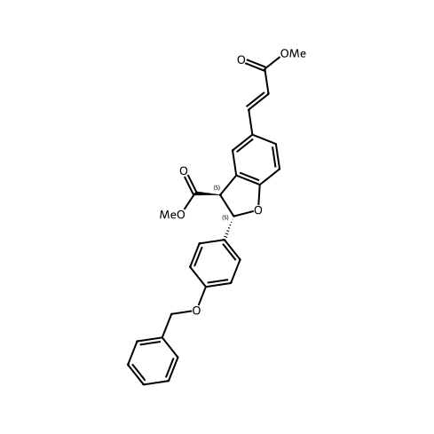 COC(=O)C=Cc1ccc2c(c1)[C@H](C(=O)OC)[C@@H](c1ccc(OCc3ccccc3)cc1)O2